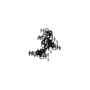 CC[C@H]1[C@@H](O)[C@@H]2[C@H](CC[C@]3(C)[C@@H]([C@H](CCC[C@H]4[C@@H](O)[C@@H]5[C@H](CC[C@]6(C)[C@@H]([C@H](C)Cc7nc8cccc(C(=O)O)c8[nH]7)CC[C@@H]56)[C@@]5(C)CC[C@@H](O)C[C@@H]45)CC4CC4c4cccc(C(=O)O)c4)CC[C@@H]23)[C@@]2(C)CC[C@@H](O)C[C@@H]12